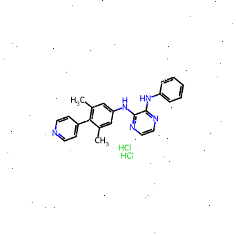 Cc1cc(Nc2nccnc2Nc2ccccc2)cc(C)c1-c1ccncc1.Cl.Cl